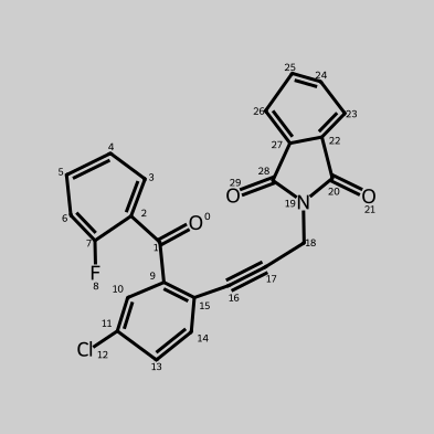 O=C(c1ccccc1F)c1cc(Cl)ccc1C#CCN1C(=O)c2ccccc2C1=O